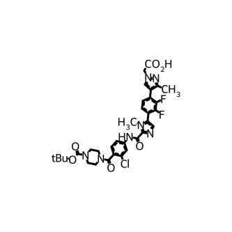 Cc1nn(CC(=O)O)cc1-c1ccc(-c2cnc(C(=O)Nc3ccc(C(=O)N4CCN(C(=O)OC(C)(C)C)CC4)c(Cl)c3)n2C)c(F)c1F